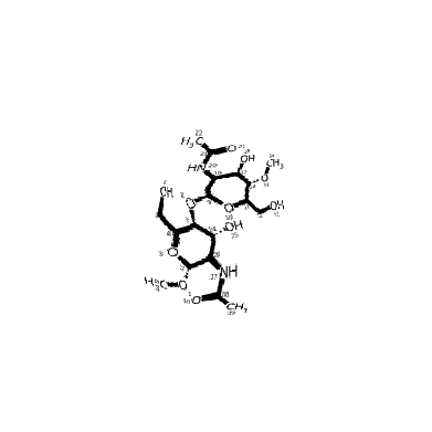 CO[C@@H]1OC(CO)[C@@H](O[C@@H]2OC(CO)[C@@H](OC)[C@H](O)C2NC(C)=O)[C@H](O)C1NC(C)=O